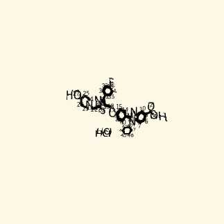 Cl.Cl.O=C(O)c1ccc2c(c1)nc(-c1ccc(OCc3sc(CN4CCC(O)CC4)nc3-c3ccc(F)cc3)cc1)n2C1CCCCC1